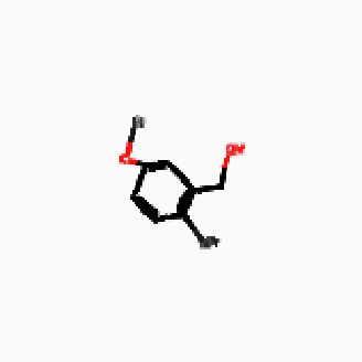 CCCc1ccc(OCC)cc1CO